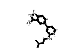 CC(C)CCNc1cc(-c2ccc3[nH]nc(N)c3c2)ccn1